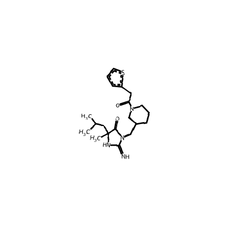 CC(C)CC1(C)NC(=N)N(CC2CCCN(C(=O)Cc3cccs3)C2)C1=O